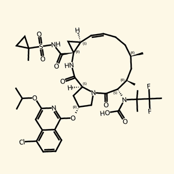 CC(C)Oc1cc2c(Cl)cccc2c(O[C@@H]2C[C@H]3C(=O)N[C@]4(C(=O)NS(=O)(=O)C5(C)CC5)C[C@H]4C=CCC[C@@H](C)C[C@@H](C)[C@H](N(C(=O)O)C(C)(C)C(C)(F)F)C(=O)N3C2)n1